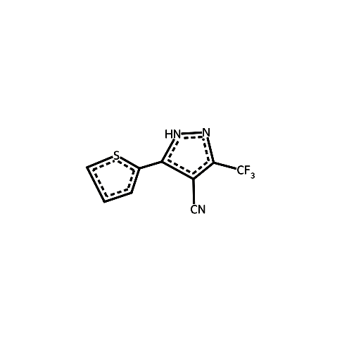 N#Cc1c(C(F)(F)F)n[nH]c1-c1cccs1